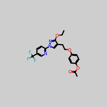 CCOc1nn(-c2ccc(C(F)(F)F)cn2)cc1CCOc1ccc(OC(C)=O)cc1